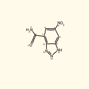 NC(=O)c1cc([N+](=O)[O-])cc2[nH]nnc12